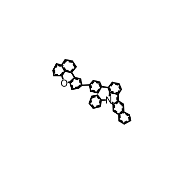 c1ccc(-n2c3cc4ccccc4cc3c3cccc(-c4ccc(-c5ccc6c(c5)-c5cccc7cccc(c57)O6)cc4)c32)cc1